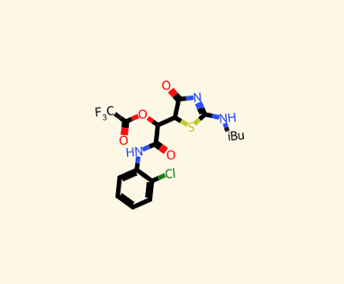 CCC(C)NC1=NC(=O)C(C(OC(=O)C(F)(F)F)C(=O)Nc2ccccc2Cl)S1